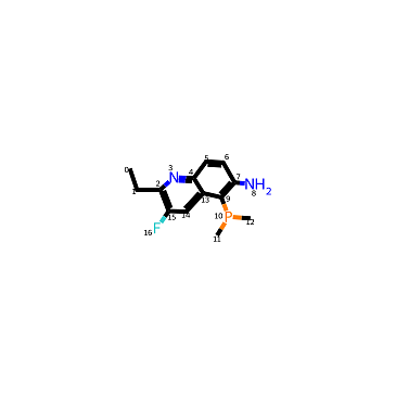 CCc1nc2ccc(N)c(P(C)C)c2cc1F